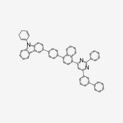 C1=CC(n2c3ccccc3c3cc(-c4ccc(-c5ccc(-c6cc(-c7cccc(-c8ccccc8)c7)nc(-c7ccccc7)n6)c6ccccc56)cc4)ccc32)=CCC1